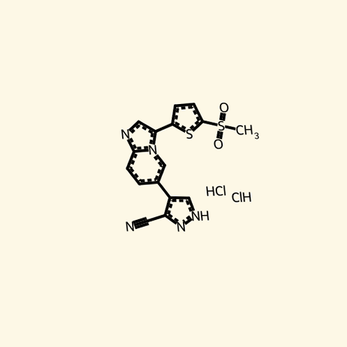 CS(=O)(=O)c1ccc(-c2cnc3ccc(-c4c[nH]nc4C#N)cn23)s1.Cl.Cl